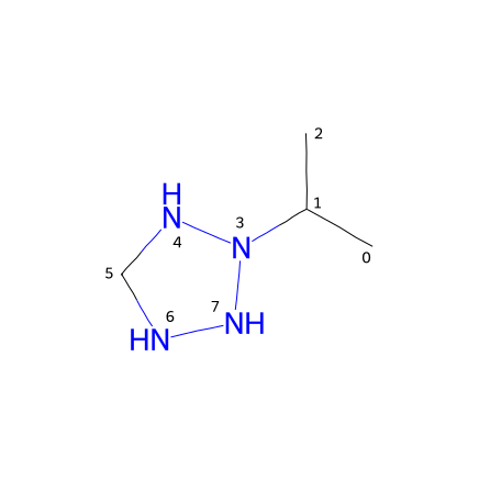 CC(C)N1NCNN1